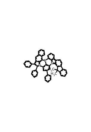 CC1(C)c2ccccc2-c2ccc3c4cccc5c4n(c3c21)-c1cc(-c2ccccc2)cc2c1B5c1c3ccccc3cc3c(-c4ccccc4)c(-c4ccccc4)n-2c13